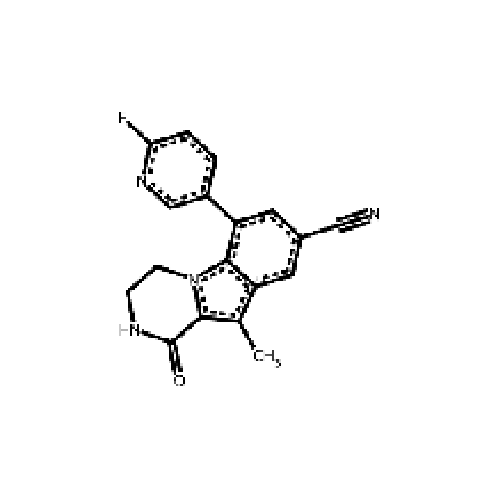 Cc1c2n(c3c(-c4ccc(F)nc4)cc(C#N)cc13)CCNC2=O